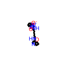 O=C(NCCCCCCNc1n[n+]([O-])c2ccccc2[n+]1[O-])c1ccnc2ccccc12